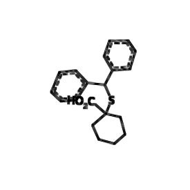 O=C(O)C1(SC(c2ccccc2)c2ccccc2)CCCCC1